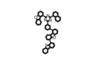 c1cc(-c2nc(-c3cccc4ccccc34)nc(-c3cccc4oc5ccccc5c34)n2)cc(-c2cccc3oc4c(-c5cccc6c5sc5ccccc56)cccc4c23)c1